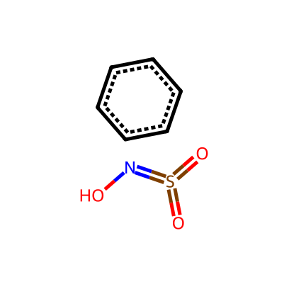 O=S(=O)=NO.c1ccccc1